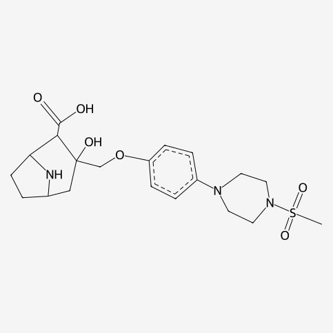 CS(=O)(=O)N1CCN(c2ccc(OCC3(O)CC4CCC(N4)C3C(=O)O)cc2)CC1